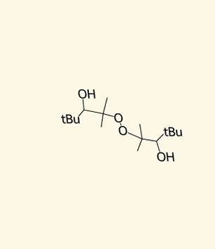 CC(C)(C)C(O)C(C)(C)OOC(C)(C)C(O)C(C)(C)C